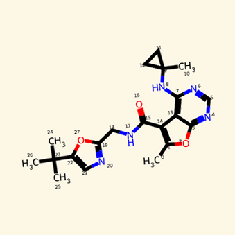 Cc1oc2ncnc(NC3(C)CC3)c2c1C(=O)NCc1ncc(C(C)(C)C)o1